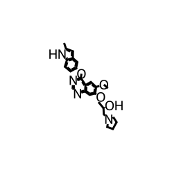 COc1cc2c(Oc3ccc4[nH]c(C)cc4c3)ncnc2cc1OC[C@H](O)CN1CCCC1